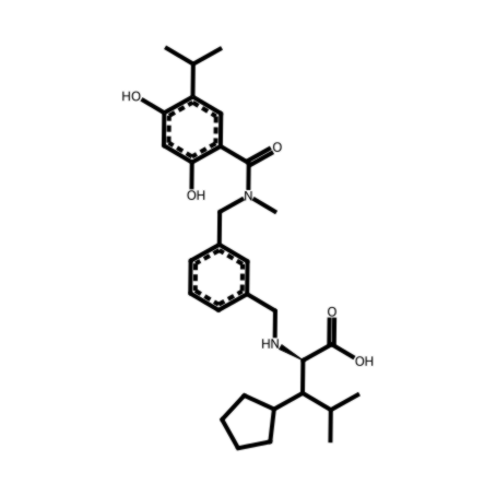 CC(C)c1cc(C(=O)N(C)Cc2cccc(CN[C@@H](C(=O)O)C(C(C)C)C3CCCC3)c2)c(O)cc1O